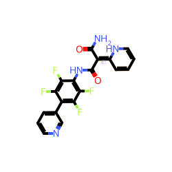 NC(=O)/C(C(=O)Nc1c(F)c(F)c(-c2cccnc2)c(F)c1F)=C1/C=CC=CN1